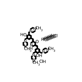 CN1CCN(Cc2cc(C=C3CNCC(=Cc4cc(CN5CCN(C)CC5)c(O)c(CN5CCN(C)CC5)c4)C3=O)cc(CN3CCN(C)CC3)c2O)CC1.Cl.Cl.Cl.Cl.Cl.Cl.Cl.Cl.Cl